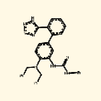 CC(C)CN(CC(C)C)c1ccc(-c2ccccc2-c2nnn[nH]2)cc1NC(=O)NC(C)C